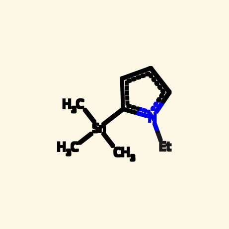 CCn1ccc[c]1[Sn]([CH3])([CH3])[CH3]